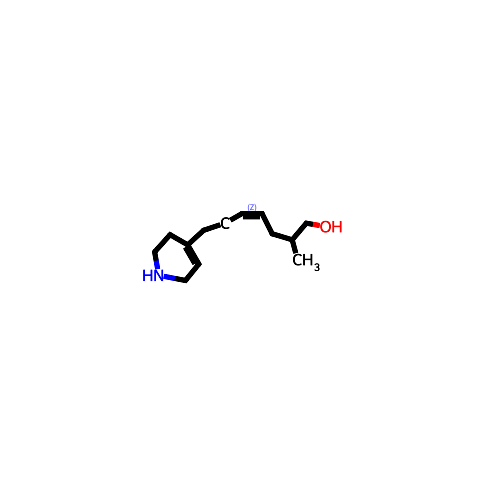 CC(CO)C/C=C\CCC1=CCNCC1